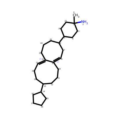 CC1(N)CCC(C2C/C=C3CCCC(C4CCCC4)CC\C=C/3CCC2)CC1